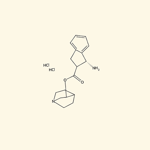 Cl.Cl.N[C@H]1c2ccccc2CC1C(=O)OC1CN2CCC1CC2